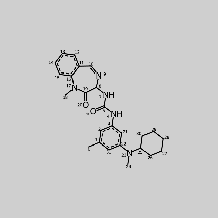 Cc1cc(NC(=O)NC2N=Cc3ccccc3N(C)C2=O)cc(N(C)C2CCCCC2)c1